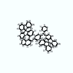 c1ccc(N(c2ccc(-c3ccc4ccccc4c3-c3cccc4c3-c3ccccc3C4(c3ccccc3)c3ccccc3)cc2)c2ccc3c(c2)C2(c4ccccc4-c4ccccc42)c2ccccc2-3)cc1